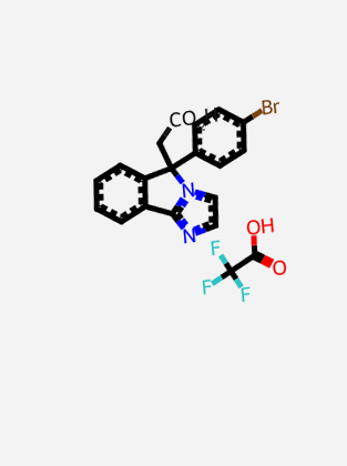 O=C(O)C(F)(F)F.O=C(O)CC1(c2ccc(Br)cc2)c2ccccc2-c2nccn21